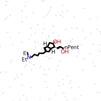 CCCCC[C@H](O)/C=C/[C@@H]1[C@H]2CC(CCCCCN(CC)CC)=C[C@H]2C[C@H]1O